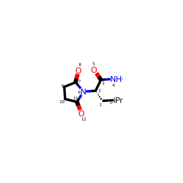 CC(C)C[C@@H](C([NH])=O)N1C(=O)CCC1=O